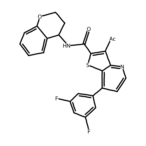 CC(=O)c1c(C(=O)NC2CCOc3ccccc32)sc2c(-c3cc(F)cc(F)c3)ccnc12